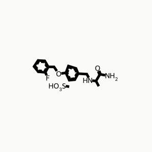 CC(NCc1ccc(OCc2ccccc2F)cc1)C(N)=O.CS(=O)(=O)O